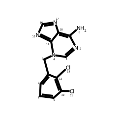 Nc1ncn(Cc2cccc(Cl)c2Cl)c2ncnc1-2